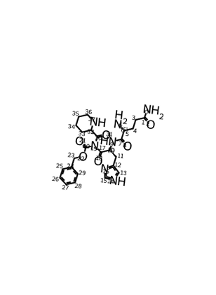 NC(=O)CC[C@H](N)C(=O)N[C@@H](Cc1c[nH]cn1)C(=O)N(C(=O)OCc1ccccc1)C(=O)C1CCCCN1